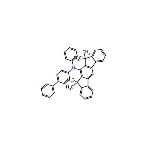 CC1(C)c2ccccc2-c2cc3c(c(N(c4ccccc4)c4ccc(-c5ccccc5)cc4)c21)C(C)(C)c1ccccc1-3